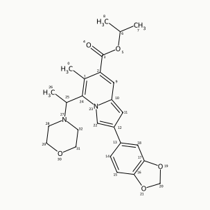 Cc1c(C(=O)OC(C)C)cc2cc(-c3ccc4c(c3)OCO4)cn2c1C(C)N1CCOCC1